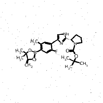 C=C1OB(c2cc(F)c(-c3c[nH]c([C@@H]4CCCN4C(=O)OC(C)(C)C)n3)cc2C)OC1(C)C